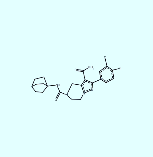 NC(=O)c1c(-c2ccc(F)c(Cl)c2)nn2c1CN(C(=O)NC13CCC(CC1)CC3)CC2